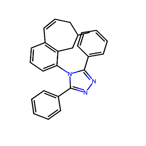 CC1CC=Cc2cccc(-n3c(-c4ccccc4)nnc3-c3ccccc3)c2C1